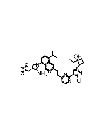 CC(C)c1ccc(N2C[C@H](CS(C)(=O)=O)[C@H]2N)c2cnc(CCc3ccnc(-c4cn(C5CCC5(O)CF)nc4Cl)n3)cc12